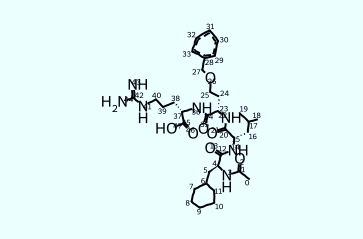 CC(=O)N[C@@H](CC1CCCCC1)C(=O)N[C@@H](CC(C)C)C(=O)N[C@@H](CCOCc1ccccc1)C(=O)N[C@@H](CCCNC(=N)N)C(=O)O